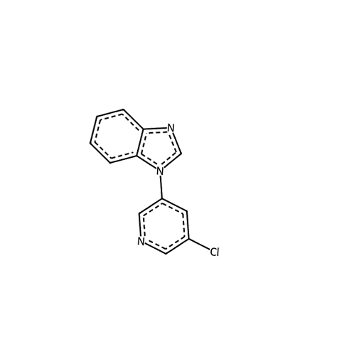 Clc1cncc(-n2cnc3ccccc32)c1